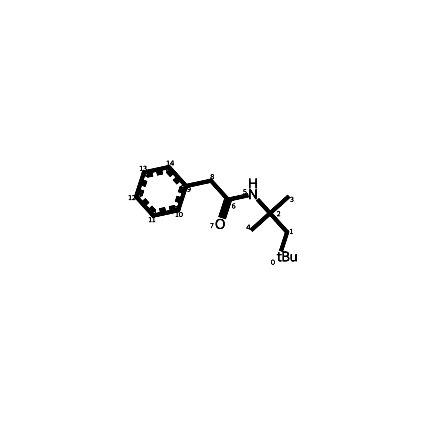 CC(C)(C)CC(C)(C)NC(=O)Cc1ccccc1